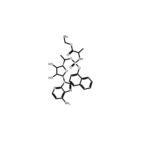 CC(NP(=O)(Oc1cccc2ccccc12)OC(C)[C@H]1O[C@@H](n2cnc3c(N)ccnc32)C(O)C1O)C(=O)OCC(C)(C)C